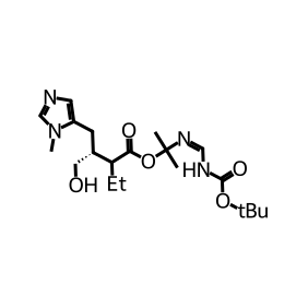 CCC(C(=O)OC(C)(C)/N=C\NC(=O)OC(C)(C)C)[C@H](CO)Cc1cncn1C